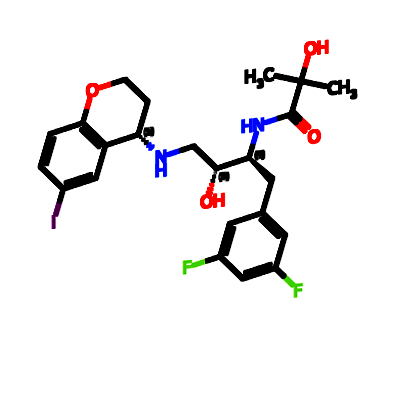 CC(C)(O)C(=O)N[C@@H](Cc1cc(F)cc(F)c1)[C@H](O)CN[C@H]1CCOc2ccc(I)cc21